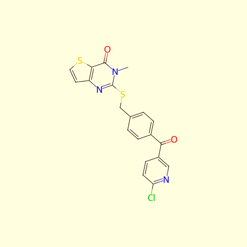 Cn1c(SCc2ccc(C(=O)c3ccc(Cl)nc3)cc2)nc2ccsc2c1=O